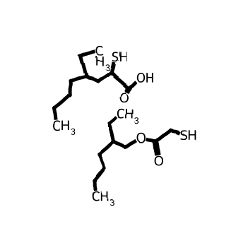 CCCCC(CC)CC(S)C(=O)O.CCCCC(CC)COC(=O)CS